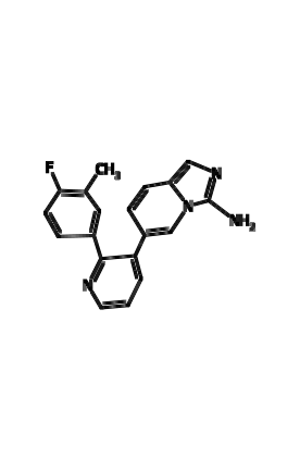 Cc1cc(-c2ncccc2-c2ccc3cnc(N)n3c2)ccc1F